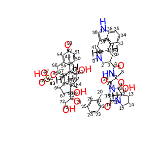 CN1C[C@H](C(=O)N[C@]2(C)O[C@@]3(O)[C@@H]4CCCN4C(=O)[C@H](Cc4ccccc4)N3C2=O)C[C@@H]2c3cccc4[nH]cc(c34)C[C@H]21.CS(=O)(=O)O.C[C@]12C=CC(=O)C=C1CC[C@@H]1[C@@H]2[C@@H](O)C[C@@]2(C)[C@H]1CC[C@]2(O)C(=O)CO